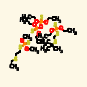 CCOP(=S)(OCC)OP(=S)(OCC)OCC.CCOP(=S)(OCC)SCSC(C)(C)C.CCSCCSP(=S)(OC)OC